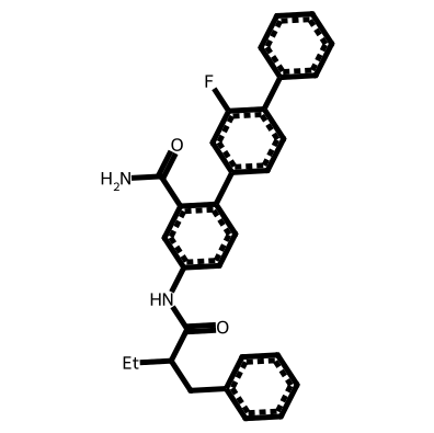 CCC(Cc1ccccc1)C(=O)Nc1ccc(-c2ccc(-c3ccccc3)c(F)c2)c(C(N)=O)c1